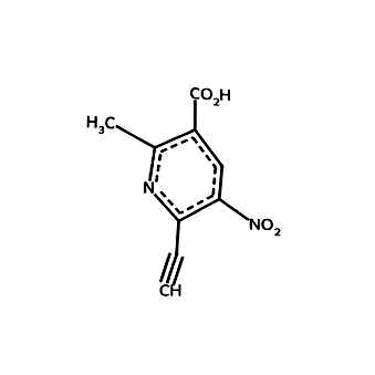 C#Cc1nc(C)c(C(=O)O)cc1[N+](=O)[O-]